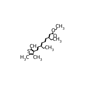 CCOC(=O)/C=C(/C=C/C=C(/C=C/c1c(C)sc(C)c1C)CC)CC